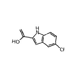 C=C(O)c1cc2cc(Cl)ccc2[nH]1